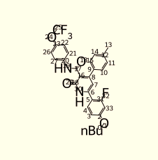 CCCCOc1ccc(-c2cc(-c3ccc(C)cc3)c(C(=O)Nc3ccc(OC(F)(F)F)cc3)c(=O)[nH]2)c(F)c1